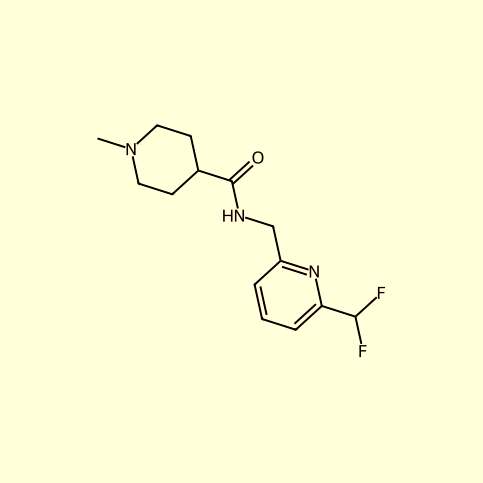 CN1CCC(C(=O)NCc2cccc(C(F)F)n2)CC1